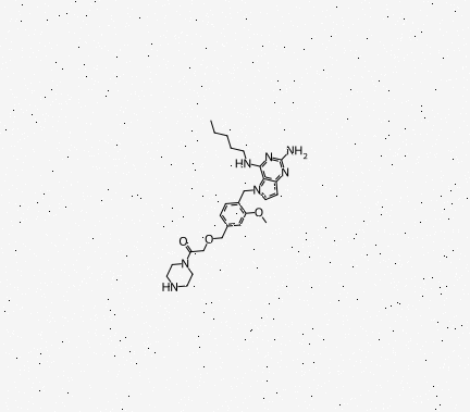 CCCCCNc1nc(N)nc2ccn(Cc3ccc(COCC(=O)N4CCNCC4)cc3OC)c12